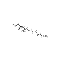 CCCCCCCCCC(Cl)OC(=O)CC